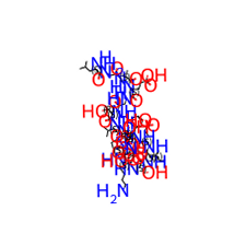 CC[C@H](C)[C@H](NC(=O)[C@H](CO)NC(=O)[C@H](CCCCN)NC(=O)[C@@H]1CCCN1C(=O)[C@H](Cc1ccccc1)NC(=O)[C@@H](NC(=O)[C@@H](NC(=O)CNC(=O)[C@H](CCC(=O)O)NC(=O)[C@H](C)NC(=O)CNC(=O)[C@@H](N)CC(C)C)[C@@H](C)O)C(C)C)C(=O)N[C@@H](CCC(=O)O)C(=O)N[C@H](C(=O)N1CCC[C@H]1C(=O)O)[C@@H](C)O